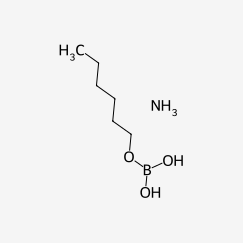 CCCCCCOB(O)O.N